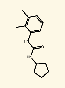 Cc1cccc(NC(=O)NC2CCCC2)c1C